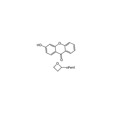 CCCCCC1CCO1.O=c1c2ccccc2oc2cc(O)ccc12